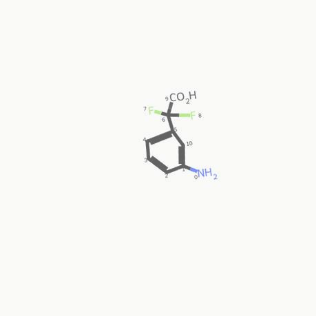 Nc1cccc(C(F)(F)C(=O)O)c1